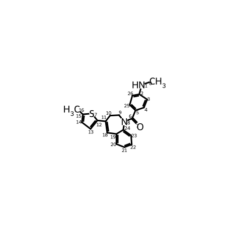 CNc1ccc(C(=O)N2CCC(c3ccc(C)s3)=Cc3ccccc32)cc1